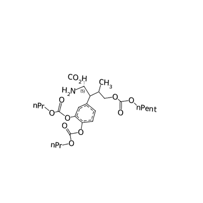 CCCCCOC(=O)OCC(C)C(c1ccc(OC(=O)OCCC)c(OC(=O)OCCC)c1)[C@H](N)C(=O)O